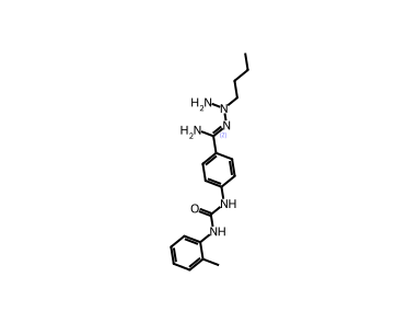 CCCCN(N)/N=C(\N)c1ccc(NC(=O)Nc2ccccc2C)cc1